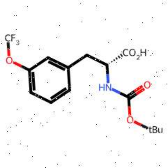 CC(C)(C)OC(=O)N[C@H](Cc1cccc(OC(F)(F)F)c1)C(=O)O